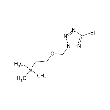 CCc1nnn(COCC[Si](C)(C)C)n1